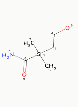 C[Si](C)(CC[O])C(N)=O